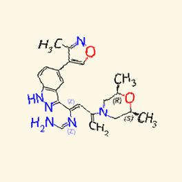 C=C(/C=C(\N=C/N)c1n[nH]c2ccc(-c3conc3C)cc12)N1C[C@@H](C)O[C@@H](C)C1